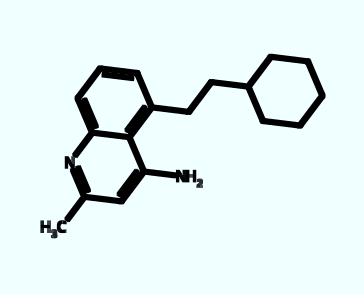 Cc1cc(N)c2c(CCC3CCCCC3)cccc2n1